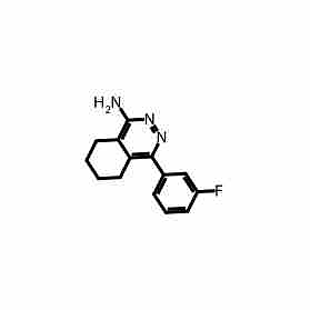 Nc1nnc(-c2cccc(F)c2)c2c1CCCC2